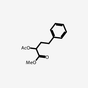 COC(=O)C(CCc1ccccc1)OC(C)=O